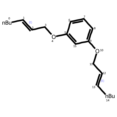 CCCC/C=C/COc1[c]ccc(OC/C=C/CCCC)c1